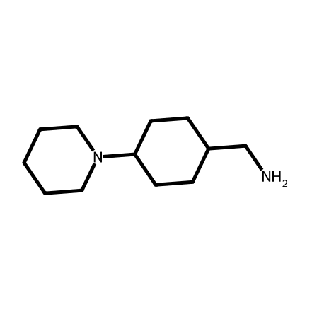 NCC1CCC(N2CCCCC2)CC1